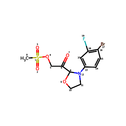 CS(=O)(=O)OCC(=O)C1OCCN1c1ccc(Br)c(F)c1